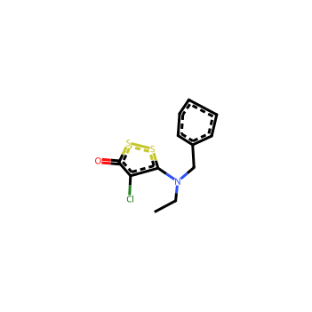 CCN(Cc1ccccc1)c1ssc(=O)c1Cl